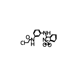 O=C(CCl)Nc1cccc(NC2=NS(=O)(=O)c3ccccc32)c1